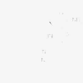 Cc1cc(C(=O)N[C@@H](Cc2ccccc2)C(=O)C(N)=O)n(-c2cccc(-c3ccccc3)c2)n1